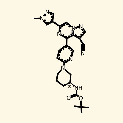 Cn1cc(-c2cn3ncc(C#N)c3c(-c3ccc(N4CCC[C@H](NC(=O)OC(C)(C)C)C4)nc3)n2)cn1